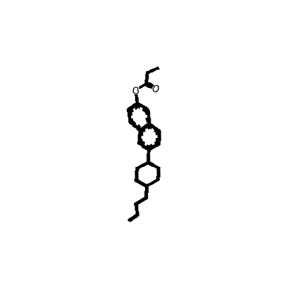 CCCCC1CCC(c2ccc3cc(OC(=O)CC)ccc3c2)CC1